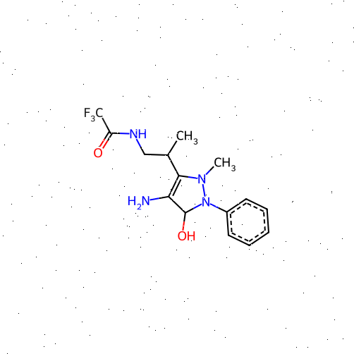 CC(CNC(=O)C(F)(F)F)C1=C(N)C(O)N(c2ccccc2)N1C